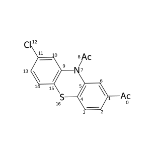 CC(=O)c1ccc2c(c1)N(C(C)=O)c1cc(Cl)ccc1S2